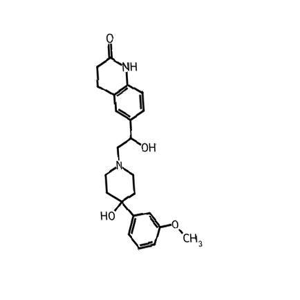 COc1cccc(C2(O)CCN(CC(O)c3ccc4c(c3)CCC(=O)N4)CC2)c1